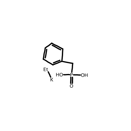 C[CH2][K].O=P(O)(O)Cc1ccccc1